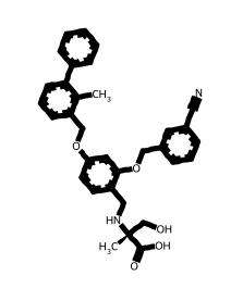 Cc1c(COc2ccc(CN[C@](C)(CO)C(=O)O)c(OCc3cccc(C#N)c3)c2)cccc1-c1ccccc1